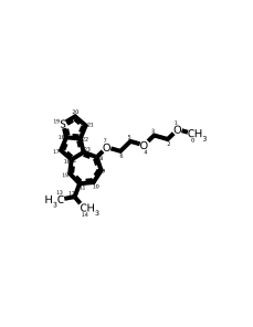 COCCOCCOc1ccc(C(C)C)cc2cc3sccc3c1-2